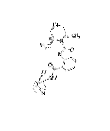 C[C@H]1CNC[C@H](C)N1c1nc2c(C(=O)N[C@@H]3CN4CCC3CC4)cccc2o1